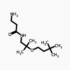 CC(C)(C)CCOC(C)(C)CNC(=O)CCN